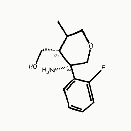 CC1COC[C@@](N)(c2ccccc2F)[C@@H]1CO